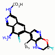 Cc1c(-c2cc3cc(NC(=O)O)ncc3c(N)c2F)cnc2c1NC[C@H](F)O2